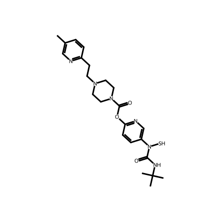 Cc1ccc(CCN2CCN(C(=O)Oc3ccc(N(S)C(=O)NC(C)(C)C)cn3)CC2)nc1